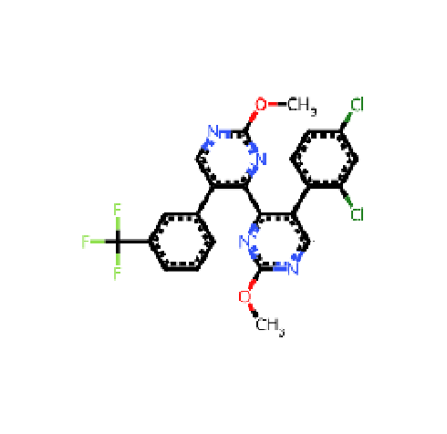 COc1n[c]c(-c2ccc(Cl)cc2Cl)c(-c2nc(OC)ncc2-c2cccc(C(F)(F)F)c2)n1